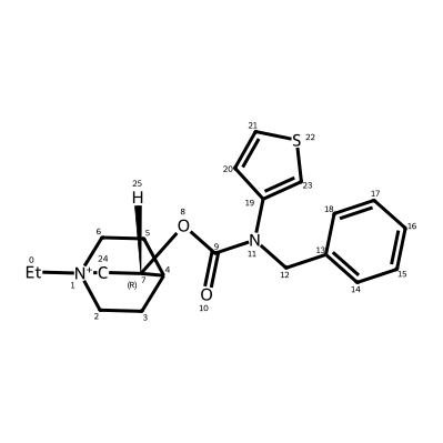 CC[N+]12CCC(CC1)[C@@H](OC(=O)N(Cc1ccccc1)c1ccsc1)C2